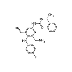 C[C@@H](NC(=O)Nc1cc(C=N)c(Nc2ccc(F)cc2)c(CN)n1)c1ccccc1